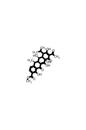 COC(=O)c1ccc2c(c1O)C(=O)C1=C(O)[C@@]3(O)C(=O)C(C(C)=O)=C(O)C(C(C)C)C3[C@H](O)C1[C@@H]2C